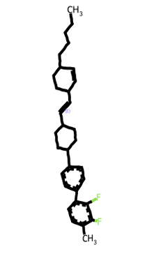 CCCCCC1C=CC(/C=C/C2CCC(c3ccc(-c4ccc(C)c(F)c4F)cc3)CC2)CC1